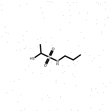 CCCNS(=O)(=O)C(C)S